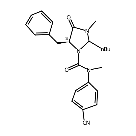 CCCCC1N(C)C(=O)[C@H](Cc2ccccc2)N1C(=O)N(C)c1ccc(C#N)cc1